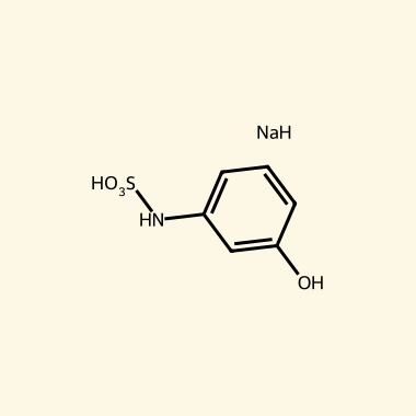 O=S(=O)(O)Nc1cccc(O)c1.[NaH]